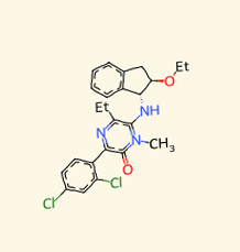 CCO[C@@H]1Cc2ccccc2[C@H]1Nc1c(CC)nc(-c2ccc(Cl)cc2Cl)c(=O)n1C